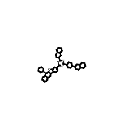 c1ccc(-c2c3ccccc3cc3c2oc2cc(-c4nc(-c5ccc(-c6ccc7ccccc7c6)cc5)nc(-c5ccc6ccccc6c5)n4)ccc23)cc1